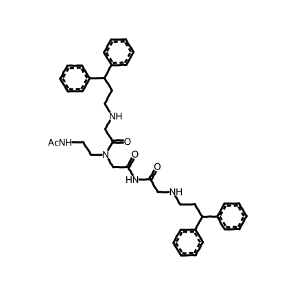 CC(=O)NCCN(CC(=O)NC(=O)CNCCC(c1ccccc1)c1ccccc1)C(=O)CNCCC(c1ccccc1)c1ccccc1